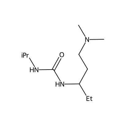 CCC(CCN(C)C)NC(=O)NC(C)C